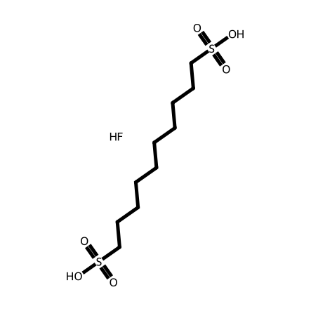 F.O=S(=O)(O)CCCCCCCCCCS(=O)(=O)O